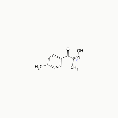 C/C(=N/O)C(=O)c1ccc(C)cc1